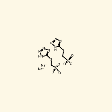 O=S(=O)([O-])CSc1nnn[nH]1.O=S(=O)([O-])CSc1nnn[nH]1.[Na+].[Na+]